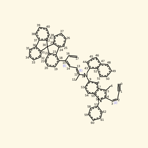 C#C/C=C\c1c(C)c2cc(N(/C(C)=C/C=C(\C=C)c3cccc4c3-c3ccccc3C43c4ccccc4-c4ccccc43)c3cccc4ccccc34)ccc2n1-c1ccccc1